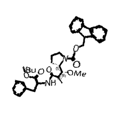 CO[C@H]([C@@H](C)C(=O)NC(Cc1ccccc1)C(=O)OC(C)(C)C)[C@@H]1CCCN1C(=O)OCC1c2ccccc2-c2ccccc21